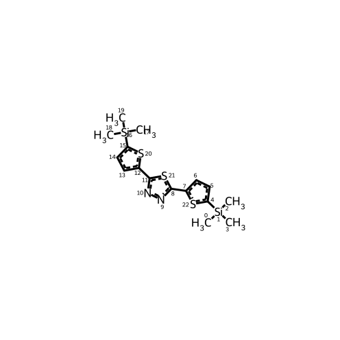 C[Si](C)(C)c1ccc(-c2nnc(-c3ccc([Si](C)(C)C)s3)s2)s1